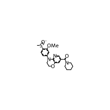 COc1cc(N2CCOc3cc(C(=O)N4CCCCC4)cnc32)ccc1[S+](C)[O-]